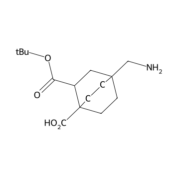 CC(C)(C)OC(=O)C1CC2(CN)CCC1(C(=O)O)CC2